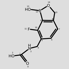 O=C(O)NCc1ccc2c(c1F)B(O)OC2